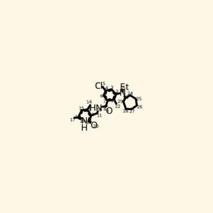 CCN(c1cc(Cl)cc(C(=O)NCc2c(C)cc(C)[nH]c2=O)c1C)C1CCCCCC1